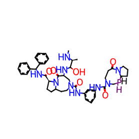 CN[C@@H](C)C(O)N[C@H]1CN(C(=O)Nc2cccc(NC(=O)N3CCC(=O)N4CCC[C@@H]4PC3)c2)CCC2CC[C@@H](C(=O)NC(c3ccccc3)c3ccccc3)N2C1=O